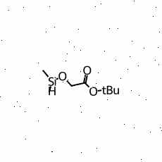 C[SiH](C)OCC(=O)OC(C)(C)C